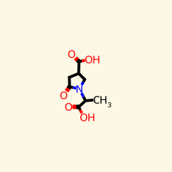 CC(C(=O)O)N1CC(C(=O)O)CC1=O